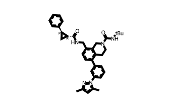 Cc1cc(C)n(-c2cccc(-c3ccc(CNC(=O)[C@@H]4C[C@H]4c4ccccc4)c4c3CCN(C(=O)NC(C)(C)C)C4)c2)n1